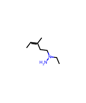 C/C=C(/C)CCN(N)CC